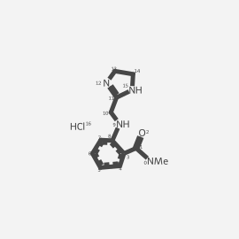 CNC(=O)c1ccccc1NCC1=NCCN1.Cl